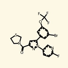 O=C(c1cc(-c2cc(Br)cc(OC(F)(F)F)c2)n(-c2ccc(F)nc2)n1)N1CCSC1